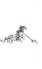 CCCCCCCCCCCCCCCC(=O)NC1(COC(=O)COc2c(C)c(C)c3c(c2C)CC[C@@](C)(CCC[C@@H](C)CCCC(C)CCCC(C)C)O3)COC(C)(C)OC1